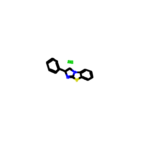 Cl.c1ccc(C2CN3C(=N2)Sc2ccccc23)cc1